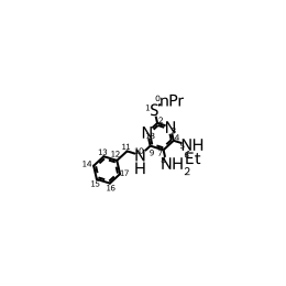 CCCSc1nc(NCC)c(N)c(NCc2ccccc2)n1